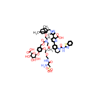 COCCN(CCOC12CC3(C)CC(C)(CC(Cn4ncc(-c5ccc(-c6ccc7c(c6)N(C(=O)Nc6nc8ccccc8s6)CCC7)nc5C(=O)O)c4C)(C3)C1)C2)C(=O)OCc1ccc(O[C@H]2O[C@@H](C(=O)O)[C@H](O)[C@@H](O)[C@@H]2O)cc1OCCOCCNC(=O)[C@@H](N)CS(=O)(=O)O